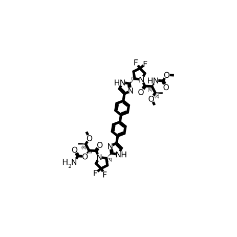 COC(=O)N[C@H](C(=O)N1CC(F)(F)C[C@H]1c1nc(-c2ccc(-c3ccc(-c4c[nH]c([C@@H]5CC(F)(F)CN5C(=O)[C@@H](OC(N)=O)[C@@H](C)OC)n4)cc3)cc2)c[nH]1)[C@@H](C)OC